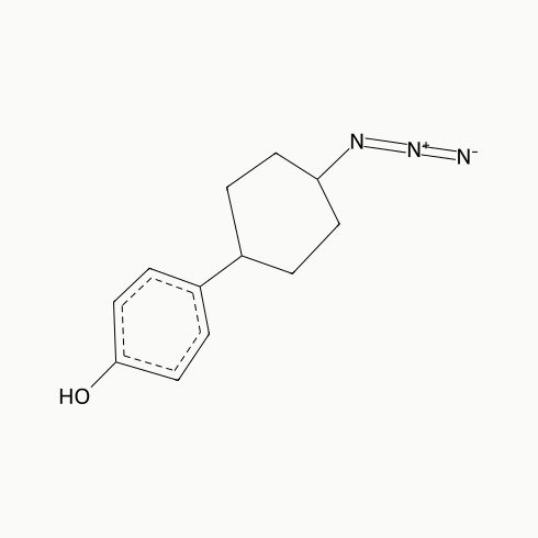 [N-]=[N+]=NC1CCC(c2ccc(O)cc2)CC1